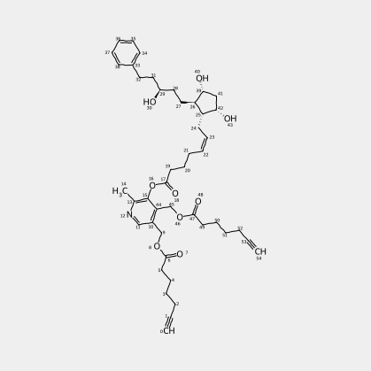 C#CCCCCC(=O)OCc1cnc(C)c(OC(=O)CCC/C=C\C[C@@H]2[C@@H](CC[C@@H](O)CCc3ccccc3)[C@H](O)C[C@@H]2O)c1COC(=O)CCCCC#C